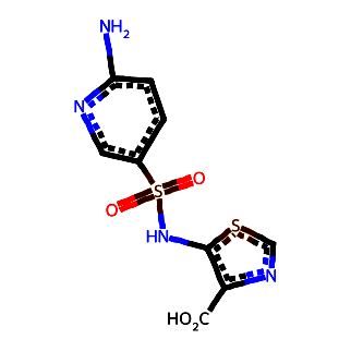 Nc1ccc(S(=O)(=O)Nc2scnc2C(=O)O)cn1